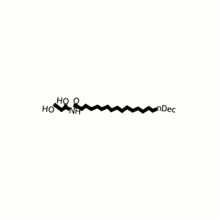 CCCCCCCCCCCCCCCCCCCCCCCCCC(=O)NC(O)CCO